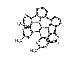 Cc1nc(C)nc(C(c2nc(C)nc(C)n2)=c2n3c4nccnc4c4cccc(c5cccc6c7nccnc7n2c56)c43)n1